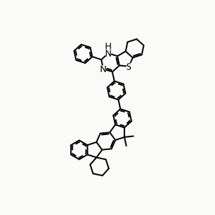 CC1(C)C2=CC3C(C=C2c2cc(-c4ccc(C5=NC(c6ccccc6)NC6=C5SC5=CCCCC56)cc4)ccc21)c1ccccc1C31CCCCC1